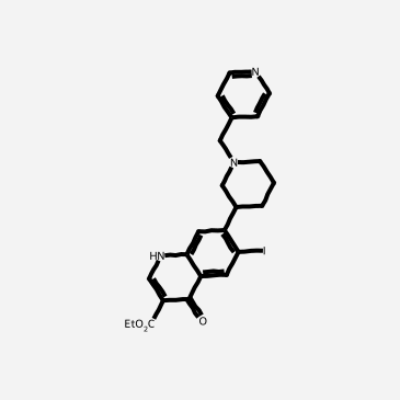 CCOC(=O)c1c[nH]c2cc(C3CCCN(Cc4ccncc4)C3)c(I)cc2c1=O